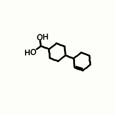 OC(O)C1CCC(C2C=CCCC2)CC1